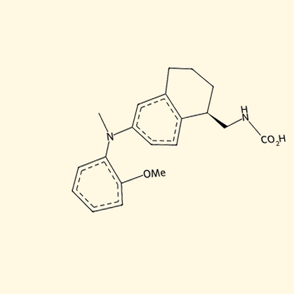 COc1ccccc1N(C)c1ccc2c(c1)CCC[C@H]2CNC(=O)O